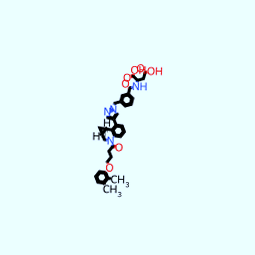 Cc1cccc(OCCCC(=O)N2C[C@@H]3C[C@@H]3c3c(-c4cnn(Cc5cccc(C(=O)NC(CC(=O)O)C(=O)O)c5)c4)cccc32)c1C